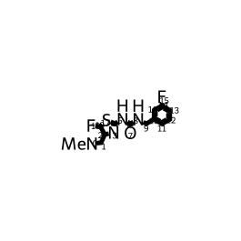 CNCC1N=C(NC(=O)NCc2cccc(F)c2)SC1F